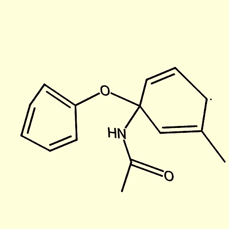 CC(=O)NC1(Oc2ccccc2)C=C[CH]C(C)=C1